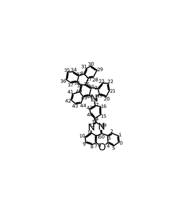 c1ccc2c(c1)Oc1cccc3nc(-c4ccc(-n5c6ccccc6c6c7c8ccccc8c8ccccc8c7c7ccccc7c65)cc4)nc-2c13